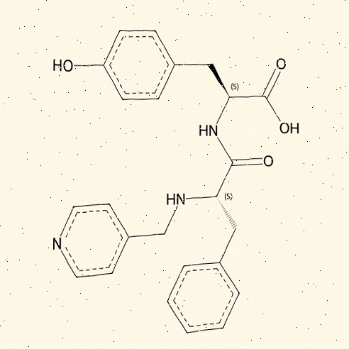 O=C(O)[C@H](Cc1ccc(O)cc1)NC(=O)[C@H](Cc1ccccc1)NCc1ccncc1